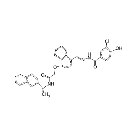 C[C@H](NC(=O)COc1ccc(/C=N/NC(=O)c2ccc(O)c(Cl)c2)c2ccccc12)c1ccc2ccccc2c1